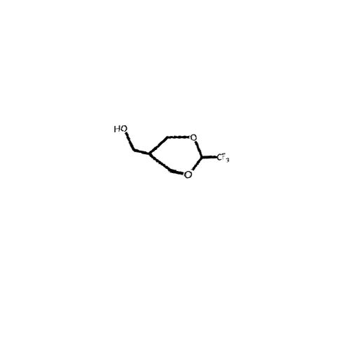 OCC1COC(C(F)(F)F)OC1